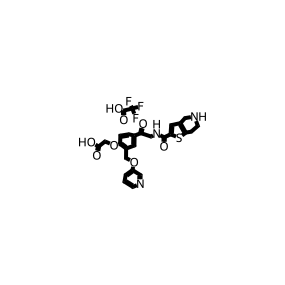 O=C(O)C(F)(F)F.O=C(O)COc1ccc(C(=O)CNC(=O)c2cc3c(s2)CCNC3)cc1COc1cccnc1